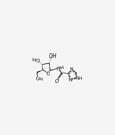 O=C(NC1O[C@@H](CO)[C@H](O)[C@@H]1O)c1nc[nH]n1